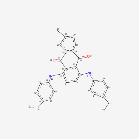 CCc1ccc(Nc2ccc(Nc3ccc(CC)cc3)c3c2C(=O)c2ccc(C)cc2C3=O)cc1